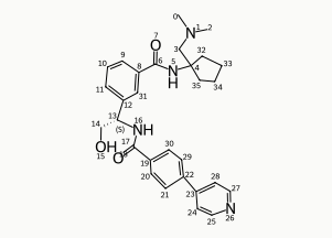 CN(C)CC1(NC(=O)c2cccc([C@@H](CO)NC(=O)c3ccc(-c4ccncc4)cc3)c2)CCCC1